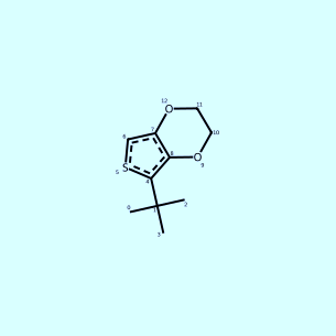 CC(C)(C)c1scc2c1OCCO2